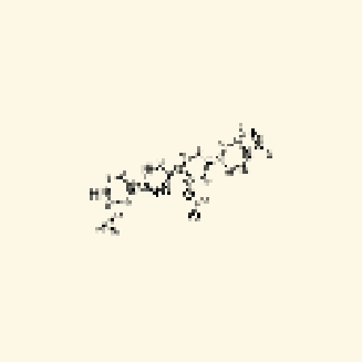 Cc1ncc2cc(-c3ccc(-c4cnc(N5CCN[C@@H](C6CC6)C5)nn4)c(OC=O)c3)ccn12